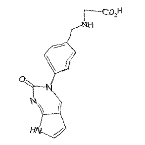 O=C(O)CNCc1ccc(-n2cc3cc[nH]c3nc2=O)cc1